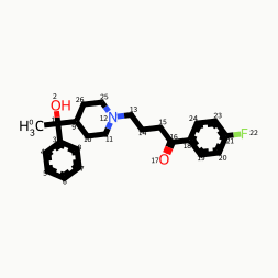 CC(O)(c1ccccc1)C1CCN(CCCC(=O)c2ccc(F)cc2)CC1